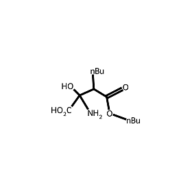 CCCCOC(=O)C(CCCC)C(N)(O)C(=O)O